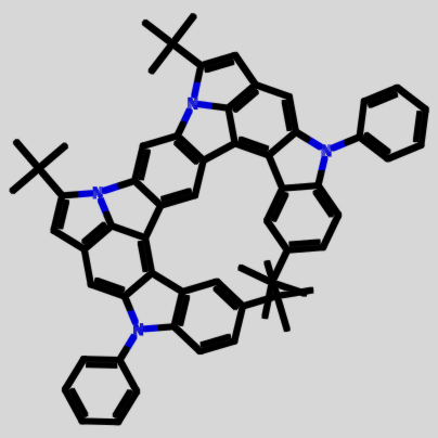 CC(C)(C)c1ccc2c(c1)c1c3c4cc5c6c7c8cc(C(C)(C)C)ccc8n(-c8ccccc8)c7cc7cc(C(C)(C)C)n(c5cc4n4c(C(C)(C)C)cc(cc1n2-c1ccccc1)c34)c76